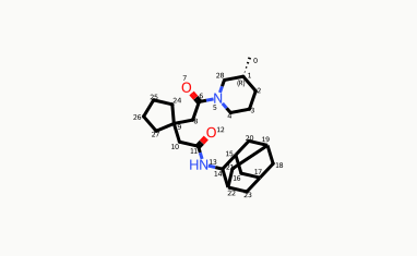 C[C@@H]1CCCN(C(=O)CC2(CC(=O)NC3C4CC5CC(C4)CC3C5)CCCC2)C1